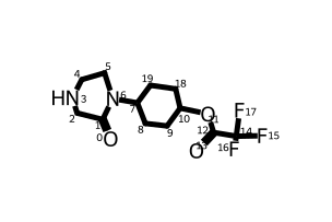 O=C1CNCCN1C1CCC(OC(=O)C(F)(F)F)CC1